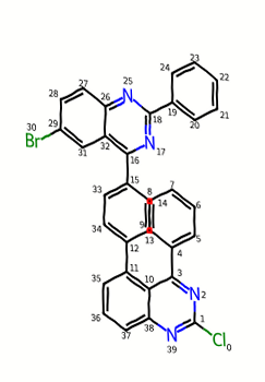 Clc1nc(-c2ccccc2)c2c(-c3ccc(-c4nc(-c5ccccc5)nc5ccc(Br)cc45)cc3)cccc2n1